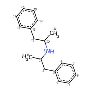 CC(Cc1ccccc1)NC(C)Cc1ccccc1